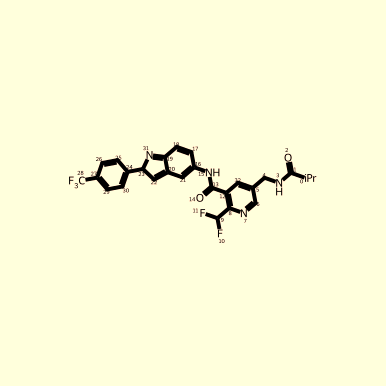 CC(C)C(=O)NCc1cnc(C(F)F)c(C(=O)Nc2ccc3c(c2)=CC(c2ccc(C(F)(F)F)cc2)N=3)c1